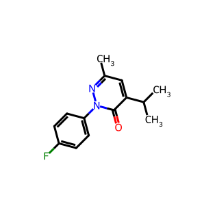 Cc1cc(C(C)C)c(=O)n(-c2ccc(F)cc2)n1